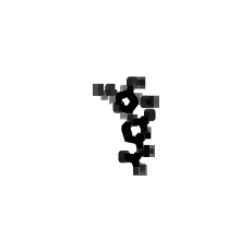 CCC(=O)Nc1ccn([C@@H]2O[C@H](C)[C@@H](O)[C@@H]2O)c(=O)n1